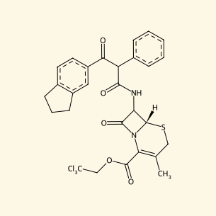 CC1=C(C(=O)OCC(Cl)(Cl)Cl)N2C(=O)C(NC(=O)C(C(=O)c3ccc4c(c3)CCC4)c3ccccc3)[C@@H]2SC1